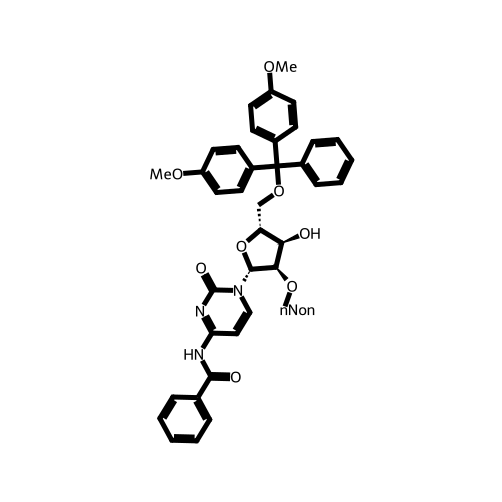 CCCCCCCCCO[C@@H]1[C@H](O)[C@@H](COC(c2ccccc2)(c2ccc(OC)cc2)c2ccc(OC)cc2)O[C@H]1n1ccc(NC(=O)c2ccccc2)nc1=O